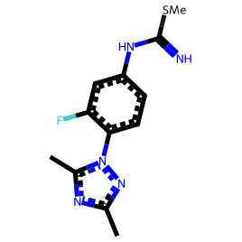 CSC(=N)Nc1ccc(-n2nc(C)nc2C)c(F)c1